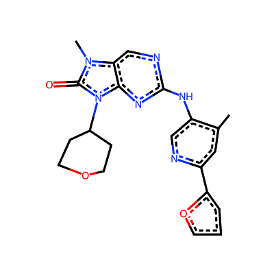 Cc1cc(-c2ccco2)ncc1Nc1ncc2c(n1)n(C1CCOCC1)c(=O)n2C